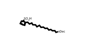 CCCCCCCCCCCCCCCCCCCCCCCCCCc1ccccc1S(=O)(=O)O